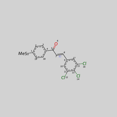 CSc1ccc(C(=O)/C=C/c2cc(Cl)c(Cl)c(Cl)c2)cc1